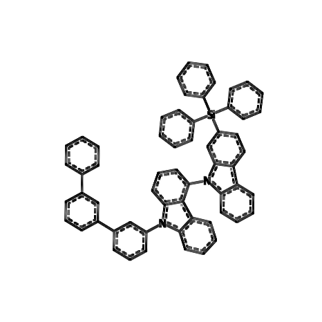 c1ccc(-c2cccc(-c3cccc(-n4c5ccccc5c5c(-n6c7ccccc7c7ccc([Si](c8ccccc8)(c8ccccc8)c8ccccc8)cc76)cccc54)c3)c2)cc1